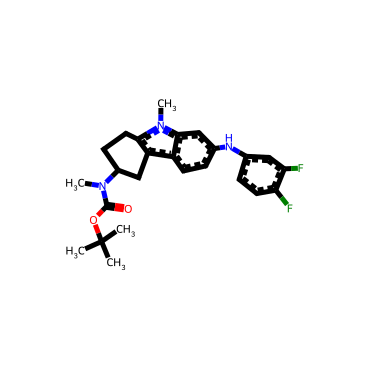 CN(C(=O)OC(C)(C)C)C1CCc2c(c3ccc(Nc4ccc(F)c(F)c4)cc3n2C)C1